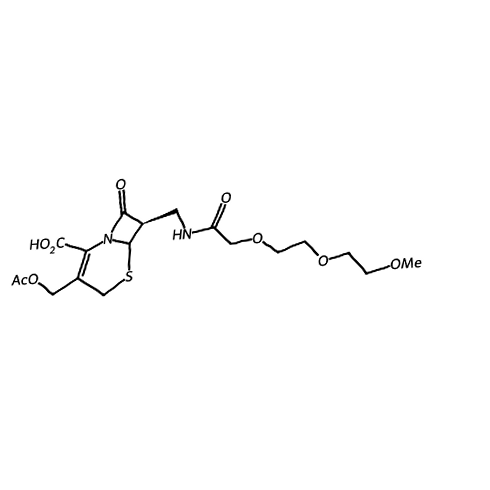 COCCOCCOCC(=O)NC[C@@H]1C(=O)N2C(C(=O)O)=C(COC(C)=O)CSC12